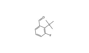 C[Si](C)(C)c1c(F)cccc1C=O